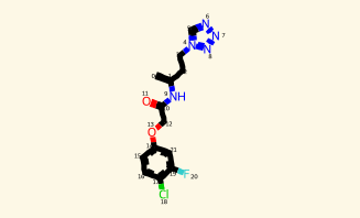 C=C(CCn1cnnn1)NC(=O)COc1ccc(Cl)c(F)c1